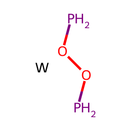 POOP.[W]